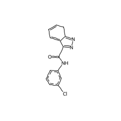 O=C(Nc1cccc(Cl)c1)C1=NN=C2CC=CC=C21